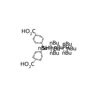 CCCC[PH](CCCC)(CCCC)CCCC.CCCC[PH](CCCC)(CCCC)CCCC.O=C(O)c1ccc(Sc2ccc(C(=O)O)cc2)cc1